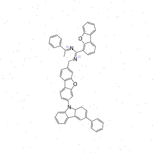 C/C(=N\C(=N/Cc1ccc2c(c1)oc1cc(N3c4ccccc4C4=CC(c5ccccc5)=CCC43)ccc12)c1cccc2c1oc1ccccc12)c1ccccc1